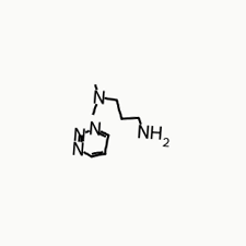 CN(C)CCCN.c1cnnnc1